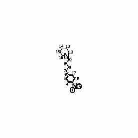 O=[N+]([O-])c1ccc(CCCCN2CCCCC2)cc1